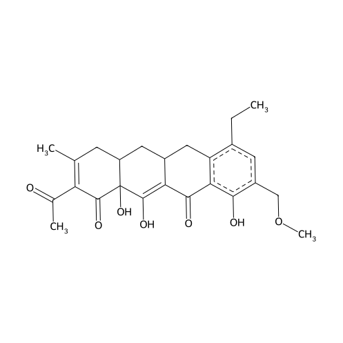 CCc1cc(COC)c(O)c2c1CC1CC3CC(C)=C(C(C)=O)C(=O)C3(O)C(O)=C1C2=O